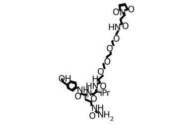 CC(C)[C@H](NC(=O)CCOCCOCCOCCOCCNC(=O)CCN1C(=O)C=CC1=O)C(=O)N[C@@H](CCCNC(N)=O)C(=O)Nc1ccc(CO)cc1